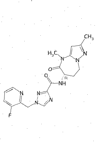 Cc1cc2n(n1)CC[C@H](NC(=O)c1ncn(Cc3ncccc3F)n1)C(=O)N2C